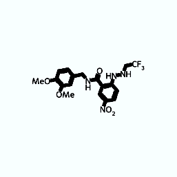 COc1ccc(CNC(=O)c2cc([N+](=O)[O-])ccc2NNCC(F)(F)F)cc1OC